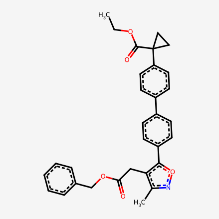 CCOC(=O)C1(c2ccc(-c3ccc(-c4onc(C)c4CC(=O)OCc4ccccc4)cc3)cc2)CC1